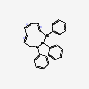 C1=C\C=C\[As](c2ccccc2)[As](c2ccccc2)[As](c2ccccc2)C/C=C/1